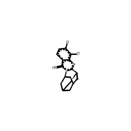 N=c1c2ccc(Cl)c(Cl)c2nc2n1C1CC3CC(CC2C3)C1